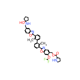 Cc1c(-c2nc3cc(CNC4(O)CCCC4)ccc3o2)cccc1-c1cccc(-c2nc3cc(COC(=O)[C@H]4CCCN4)c(OC(F)F)cc3o2)c1C